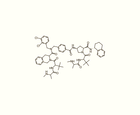 CNC(C)C(=O)NC(C(=O)N1Cc2ccccc2CC1C(=O)N(Cc1ccc(C(=O)N[C@H]2C[C@@H](C(=O)N[C@@H]3CCCc4ccccc43)N(C(=O)C(NC(=O)C(C)NC)C(C)(C)C)C2)cc1)Cc1cccc(Cl)c1Cl)C(C)(C)C